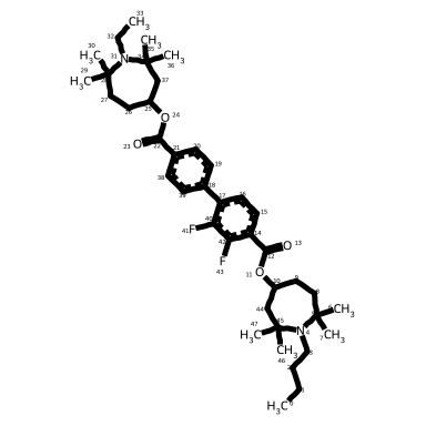 CCCCN1C(C)(C)CCC(OC(=O)c2ccc(-c3ccc(C(=O)OC4CCC(C)(C)N(CC)C(C)(C)C4)cc3)c(F)c2F)CC1(C)C